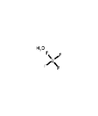 F[B-](F)(F)F.O